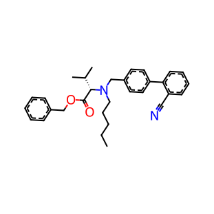 CCCCCN(Cc1ccc(-c2ccccc2C#N)cc1)[C@H](C(=O)OCc1ccccc1)C(C)C